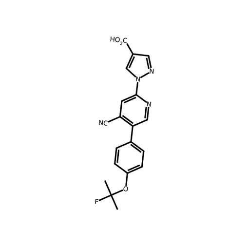 CC(C)(F)Oc1ccc(-c2cnc(-n3cc(C(=O)O)cn3)cc2C#N)cc1